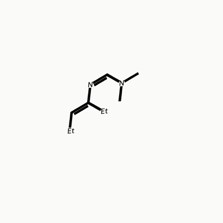 CC/C=C(CC)/N=C\N(C)C